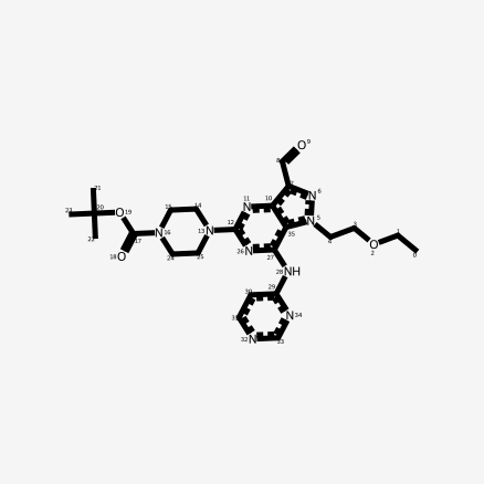 CCOCCn1nc(C=O)c2nc(N3CCN(C(=O)OC(C)(C)C)CC3)nc(Nc3ccncn3)c21